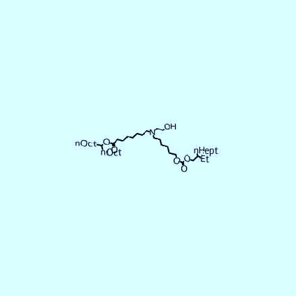 CCCCCCCCC(CCCCCCCC)OC(=O)CCCCCCCN(CCO)CCCCCCOC(=O)OCC(CC)CCCCCCC